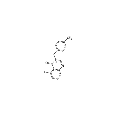 O=C1c2c(F)cccc2N=C[SH]1Cc1ccc(C(F)(F)F)cc1